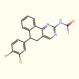 O=C(I)Nc1ncc2c(n1)-c1ccccc1C(c1ccc(Cl)c(Cl)c1)C2